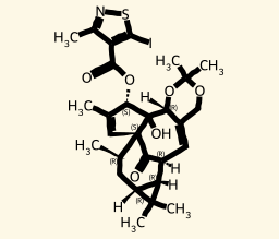 CC1=C[C@]23C(=O)[C@@H](C=C4COC(C)(C)O[C@H]4C2(O)[C@H]1OC(=O)c1c(C)nsc1I)[C@H]1[C@@H](C[C@H]3C)C1(C)C